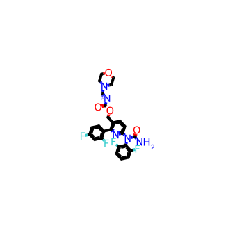 NC(=O)N(c1ccc(COC(=O)/N=C/N2CCOCC2)c(-c2ccc(F)cc2F)n1)c1c(F)cccc1F